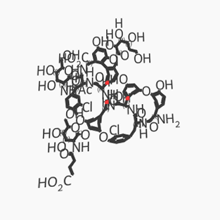 CC(=O)N[C@H]1C(O)[C@H](O)C(CO)O[C@H]1O[C@@H]1c2ccc(c(Cl)c2)Oc2cc3cc(c2O[C@@H]2OC(CO)[C@@H](O)[C@H](O)C2NC(=O)CCCC(=O)O)Oc2ccc(cc2Cl)C[C@H]2NC(=O)[C@H](N)c4ccc(O)c(c4)Oc4cc(O)cc(c4)[C@H](NC2=O)C(=O)N[C@H]3C(=O)N[C@H]2C(=O)N[C@@H]1C(=O)N[C@H](C(=O)O)c1cc(O)cc(O[C@H]3OC(CO)[C@@H](O)[C@@H](O)C3O)c1-c1cc2ccc1I